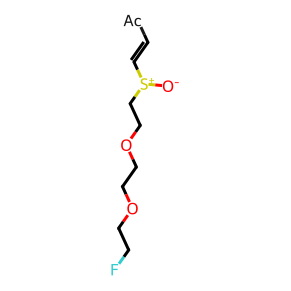 CC(=O)/C=C/[S+]([O-])CCOCCOCCF